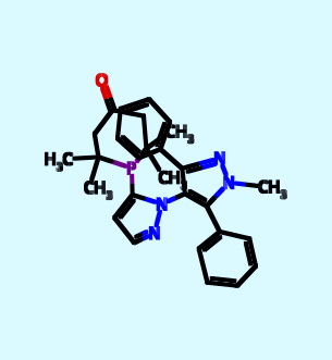 Cn1nc(-c2ccccc2)c(-n2nccc2P2C(C)(C)CC(=O)CC2(C)C)c1-c1ccccc1